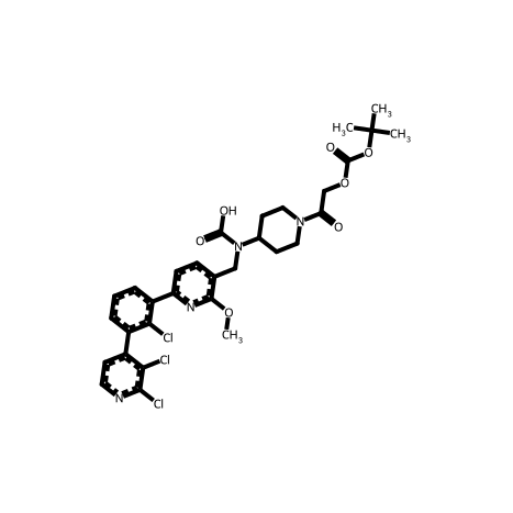 COc1nc(-c2cccc(-c3ccnc(Cl)c3Cl)c2Cl)ccc1CN(C(=O)O)C1CCN(C(=O)COC(=O)OC(C)(C)C)CC1